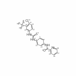 O=C(Nc1ccc(NC(=S)Nc2ccc(Cl)c(C(F)(F)F)c2)cc1)c1ccccn1